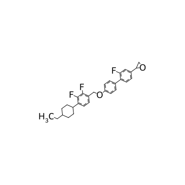 CCC1CCC(c2ccc(COc3ccc(-c4ccc(C5CO5)cc4F)cc3)c(F)c2F)CC1